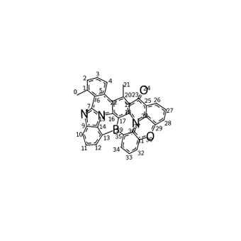 Cc1cccc2c1c1nc3cccc4c3n1c1c3c5c(c(C)c21)c(=O)c1cccc2oc6cccc(c6n5c21)B43